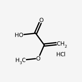 C=C(OC)C(=O)O.Cl